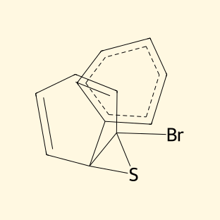 BrC12C=CC=CC1(c1ccccc1)S2